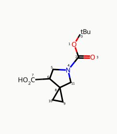 CC(C)(C)OC(=O)N1CC(C(=O)O)C2(CC2)C1